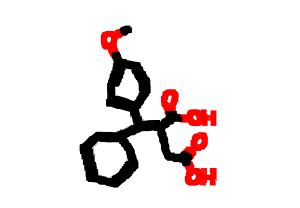 COc1ccc(C(=C(CC(=O)O)C(=O)O)c2ccccc2)cc1